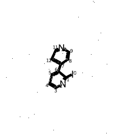 Ic1ncccc1-c1ccncc1